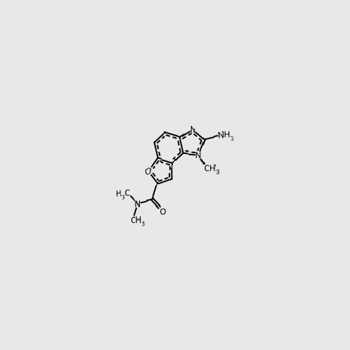 CN(C)C(=O)c1cc2c(ccc3nc(N)n(C)c32)o1